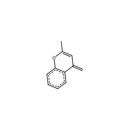 C=C1C=C(C)Oc2ccccc21